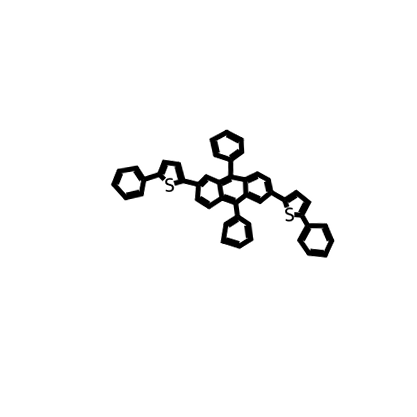 c1ccc(-c2ccc(-c3ccc4c(-c5ccccc5)c5cc(-c6ccc(-c7ccccc7)s6)ccc5c(-c5ccccc5)c4c3)s2)cc1